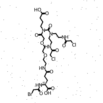 O=C(O)CCCN(C(=O)COCCOCCNC(=O)CC[C@H](NC(=O)CBr)C(=O)O)C(=O)N(CCNC(=O)CCl)CCNC(=O)CCl